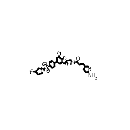 Nc1ccc(C=CC(=O)NCc2cc3cc(-c4ccc(S(=O)(=O)N5CCC(F)C5)cc4)cc(Cl)c3o2)cn1